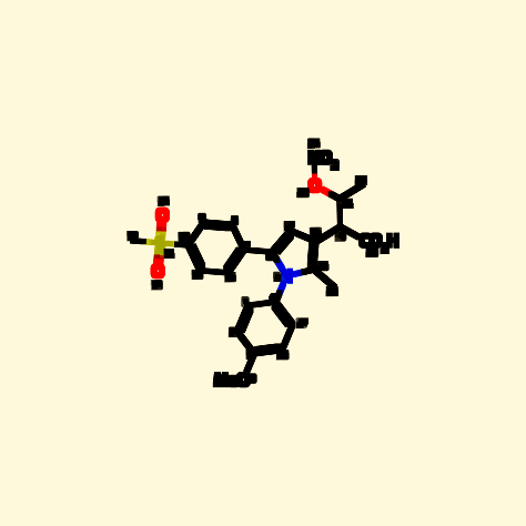 COc1ccc(-n2c(-c3ccc(S(C)(=O)=O)cc3)cc(C(C(=O)O)C(C)O[N+](=O)[O-])c2C)cc1